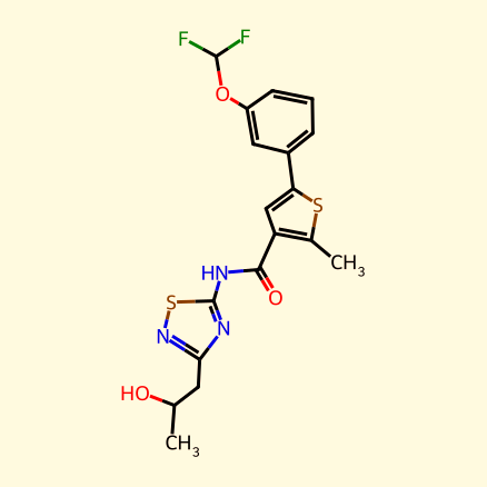 Cc1sc(-c2cccc(OC(F)F)c2)cc1C(=O)Nc1nc(CC(C)O)ns1